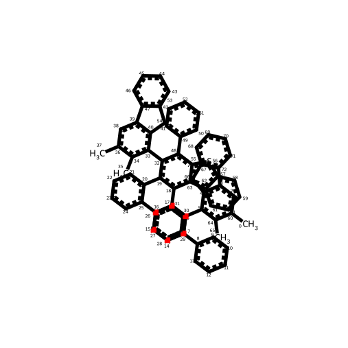 Cc1cc2c(c(-c3c(-c4ccccc4)nnnc3-c3c(-c4ccccc4-c4ccccc4)c(-c4c(C)c(C)cc5c4Cc4ccccc4-5)c(-c4ccccc4)c4sc5ccccc5c34)c1C)Cc1ccccc1-2